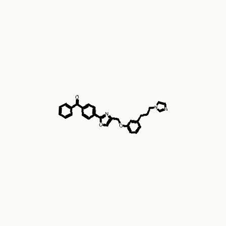 O=C(c1ccccc1)c1ccc(-c2nc(COc3cccc(CCCn4ccnc4)c3)co2)cc1